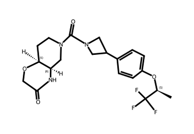 C[C@H](Oc1ccc(C2CN(C(=O)N3CC[C@@H]4OCC(=O)N[C@@H]4C3)C2)cc1)C(F)(F)F